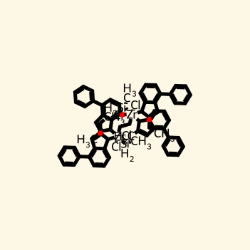 CCC1=Cc2c(-c3ccccc3)cccc2[CH]1[Zr]([Cl])([Cl])([CH2][CH2][Zr]([Cl])([Cl])([SiH2]C)([CH]1C(C)=Cc2c(-c3ccccc3)cccc21)[CH]1C(CC)=Cc2c(-c3ccccc3)cccc21)([SiH2]C)[CH]1C(C)=Cc2c(-c3ccccc3)cccc21